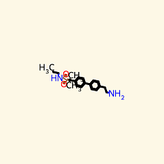 CCCNS(=O)(=O)C(C)(C)c1ccc(-c2ccc(CCN)cc2)cc1